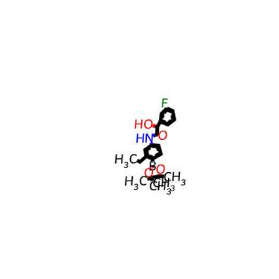 CCc1cc(NC(=O)C(O)c2cccc(F)c2)ccc1B1OC(C)(C)C(C)(C)O1